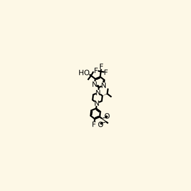 CC(C)[C@@H]1CN(c2ccc(F)c(S(C)(=O)=O)c2)CCN1c1ncc(C(F)(F)F)c(C(C)(C)O)n1